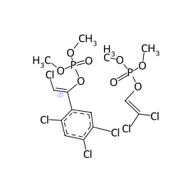 COP(=O)(OC)O/C(=C\Cl)c1cc(Cl)c(Cl)cc1Cl.COP(=O)(OC)OC=C(Cl)Cl